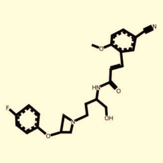 COc1ccc(C#N)cc1/C=C/C(=O)NC(CO)CCN1CC(Oc2ccc(F)cc2)C1